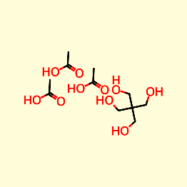 CC(=O)O.CC(=O)O.CC(=O)O.OCC(CO)(CO)CO